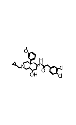 COc1cccc(C23CCN(CC4CC4)CC2C(O)C[C@H](NC(=O)Cc2ccc(Cl)c(Cl)c2)C3)c1